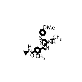 COc1ccc(Sc2cc(NCCC(F)(F)F)c3ncc(-c4ccc(C(=O)NC5CC5)c(C)c4)n3n2)cc1